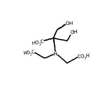 O=C(O)CN(CC(=O)O)C(CO)(CO)C(=O)O